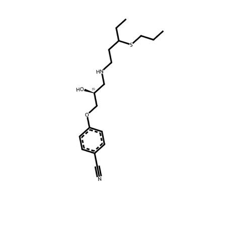 CCCSC(CC)CCNC[C@H](O)COc1ccc(C#N)cc1